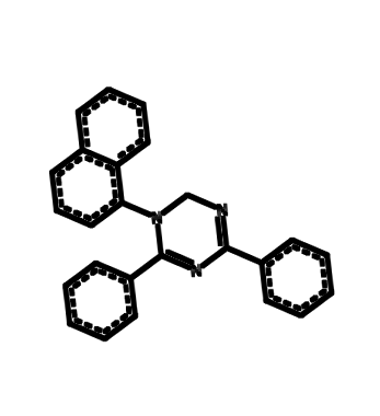 c1ccc(C2=NCN(c3cccc4ccccc34)C(c3ccccc3)=N2)cc1